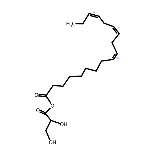 CC/C=C\C/C=C\C/C=C\CCCCCCCC(=O)OC(=O)C(O)CO